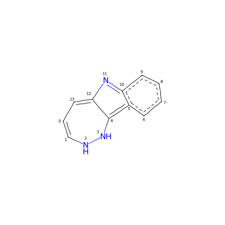 C1=CNNC2=c3ccccc3=NC2=C1